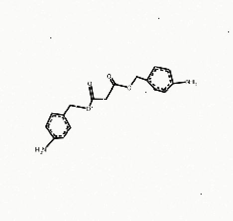 Nc1ccc(COC(=O)CC(=O)OCc2ccc(N)cc2)cc1